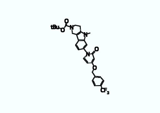 Cn1c2c(c3ccc(-n4ccc(OCc5ccc(C(F)(F)F)cc5)cc4=O)cc31)CN(C(=O)OC(C)(C)C)CC2